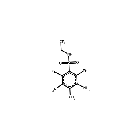 CCc1c(N)c(C)c(N)c(CC)c1S(=O)(=O)NCC(F)(F)F